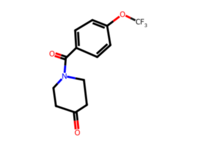 O=C1CCN(C(=O)c2ccc(OC(F)(F)F)cc2)CC1